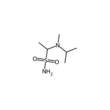 CC(C)N(C)C(C)S(N)(=O)=O